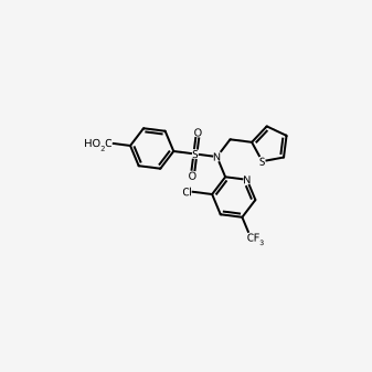 O=C(O)c1ccc(S(=O)(=O)N(Cc2cccs2)c2ncc(C(F)(F)F)cc2Cl)cc1